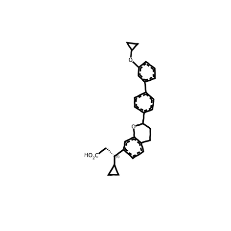 O=C(O)C[C@H](c1ccc2c(c1)OC(c1ccc(-c3cccc(OC4CC4)c3)cc1)CC2)C1CC1